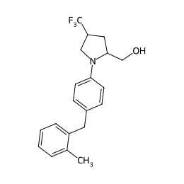 Cc1ccccc1Cc1ccc(N2CC(C(F)(F)F)CC2CO)cc1